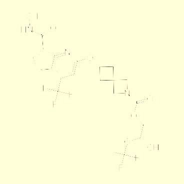 CNC(=O)c1csc2c(C(F)(F)F)cc(OC3CC4(C3)CN(C(=O)OC[C@H](C)OC(F)(F)F)C4)nc12